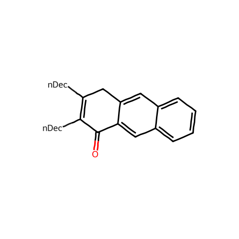 CCCCCCCCCCC1=C(CCCCCCCCCC)C(=O)c2cc3ccccc3cc2C1